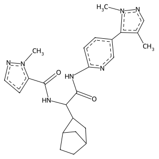 Cc1cnn(C)c1-c1ccc(NC(=O)C(NC(=O)c2ccnn2C)C2CC3CCC2C3)nc1